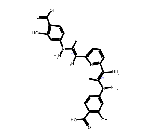 C/C(=C(/N)c1cccc(/C(N)=C(\C)N(N)c2ccc(C(=O)O)c(O)c2)n1)N(N)c1ccc(C(=O)O)c(O)c1